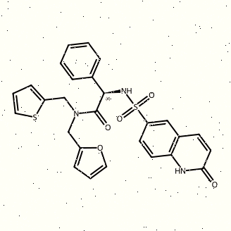 O=C([C@H](NS(=O)(=O)c1ccc2[nH]c(=O)ccc2c1)c1ccccc1)N(Cc1ccco1)Cc1cccs1